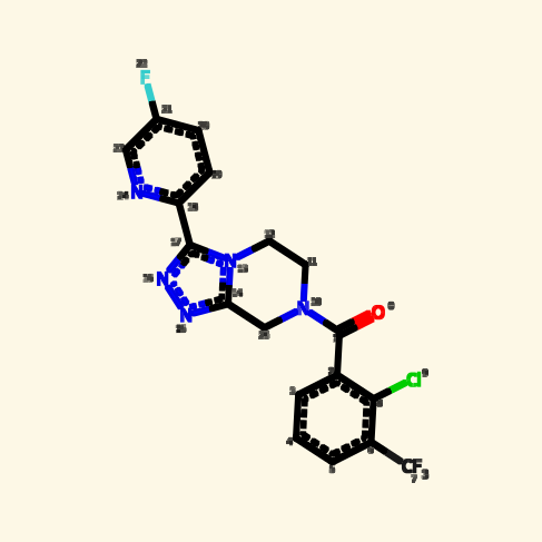 O=C(c1cccc(C(F)(F)F)c1Cl)N1CCn2c(nnc2-c2ccc(F)cn2)C1